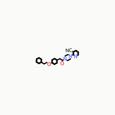 N#Cc1cccnc1N1CCN(C(=O)Cc2ccc(OCCc3ccccc3)cc2)CC1